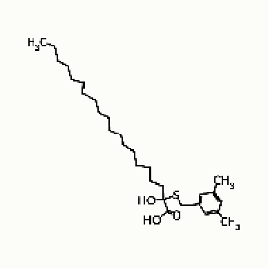 CCCCCCCCCCCCCCCCCCC(O)(SCc1cc(C)cc(C)c1)C(=O)O